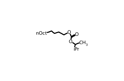 CCCCCCCCCCCCOC(=O)OC(C)C(C)C